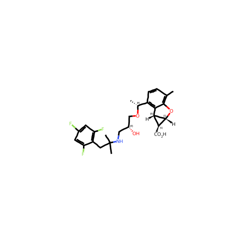 Cc1ccc([C@@H](C)OC[C@H](O)CNC(C)(C)Cc2c(F)cc(F)cc2F)c2c1O[C@@H]1[C@@H](C(=O)O)[C@H]21